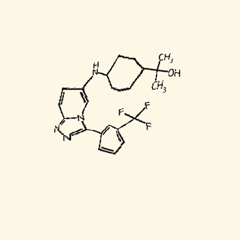 CC(C)(O)C1CCC(Nc2ccc3nnc(-c4cccc(C(F)(F)F)c4)n3c2)CC1